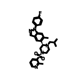 Cc1cc2c(cnn2-c2ccc(F)cc2)cc1[C@H]1CN(S(=O)(=O)c2cccnc2C)CCN1CC(C)C